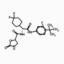 CC(C)(C)c1ccc(NC(=O)[C@H](NC(=O)C2CNC(=O)O2)C2CCC(F)(F)CC2)cc1F